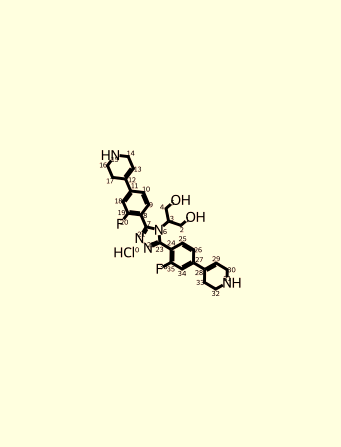 Cl.OCC(CO)n1c(-c2ccc(C3=CCNCC3)cc2F)nnc1-c1ccc(C2=CCNCC2)cc1F